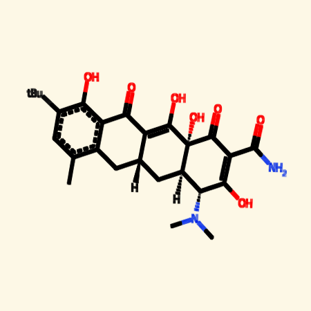 Cc1cc(C(C)(C)C)c(O)c2c1C[C@H]1C[C@@H]3[C@@H](N(C)C)C(O)=C(C(N)=O)C(=O)[C@]3(O)C(O)=C1C2=O